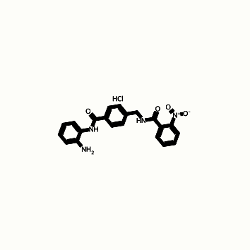 Cl.Nc1ccccc1NC(=O)c1ccc(CNC(=O)c2ccccc2[N+](=O)[O-])cc1